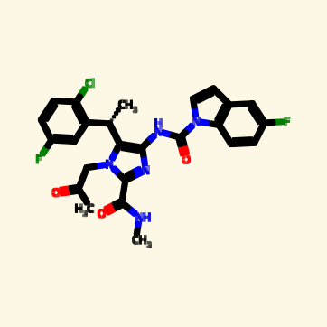 CNC(=O)c1nc(NC(=O)n2ccc3cc(F)ccc32)c([C@@H](C)c2cc(F)ccc2Cl)n1CC(C)=O